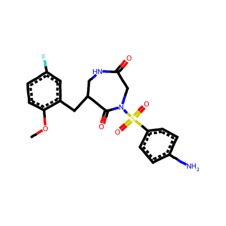 COc1ccc(F)cc1CC1CNC(=O)CN(S(=O)(=O)c2ccc(N)cc2)C1=O